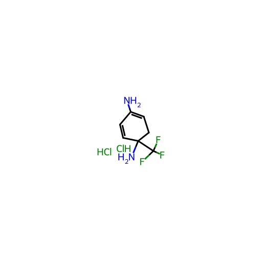 Cl.Cl.NC1=CCC(N)(C(F)(F)F)C=C1